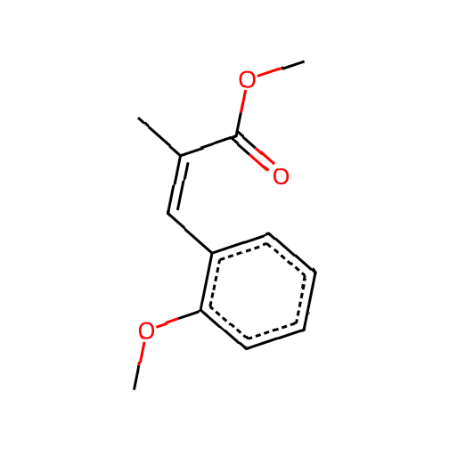 COC(=O)C(C)=Cc1ccccc1OC